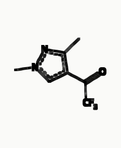 Cc1nn(C)cc1C(=O)C(F)(F)F